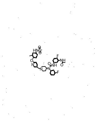 CC(=O)Nc1cc(NC(=O)N(c2cccc(F)c2)C2CCN(Cc3ccc(Oc4ccc(NS(C)(=O)=O)cc4C)nc3)CC2)ccc1F